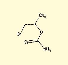 CC(CBr)OC(N)=O